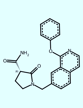 NC(=O)[C@H]1CCN(Cc2ccc3ccnc(Oc4ccccc4)c3c2)C1=O